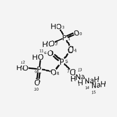 O=P(O)(O)OP(=O)(O)OP(=O)(O)O.[NaH].[NaH].[NaH]